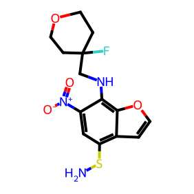 NSc1cc([N+](=O)[O-])c(NCC2(F)CCOCC2)c2occc12